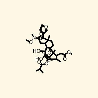 COC(=O)CC1C2(C)CC34OC5(C)OC6(C(CC(=O)N(C)OC)C(C)(C(=O)c7ccoc7)CCC6(O5)C13C)C(O)C4(O)C2OC(=O)C(C)C